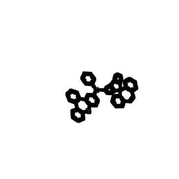 C1=Cc2ccccc2C2(c3ccccc31)c1ccccc1-c1cc(N(c3ccccc3)c3ccc4c(c3)-c3ccccc3-c3ccccc3O4)ccc12